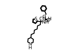 O=C(NC(CCCCCCC1CCNCC1)(C(=O)O)c1cccs1)OCc1ccccc1